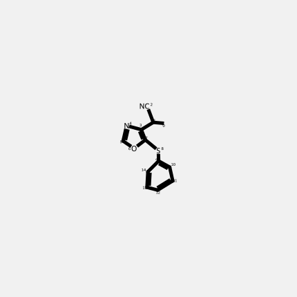 CC(C#N)c1ncoc1Sc1ccccc1